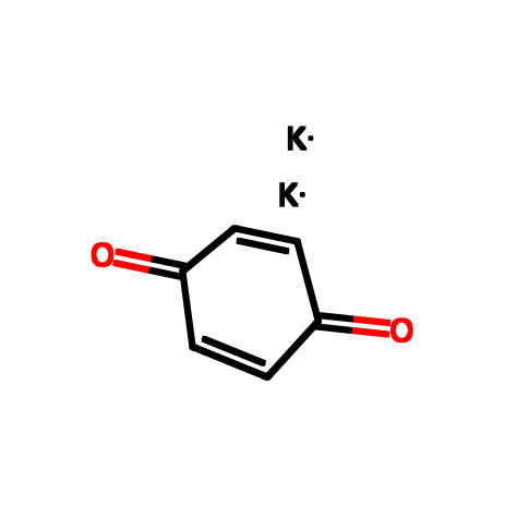 O=C1C=CC(=O)C=C1.[K].[K]